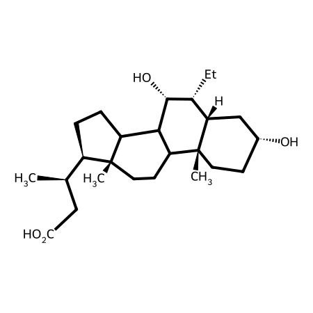 CC[C@H]1[C@@H](O)C2C3CC[C@H]([C@H](C)CC(=O)O)[C@@]3(C)CCC2[C@@]2(C)CC[C@@H](O)C[C@@H]12